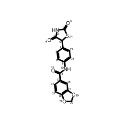 O=C1NC(=O)C(c2ccc(NC(=O)c3ccc4c(c3)OCO4)cc2)S1